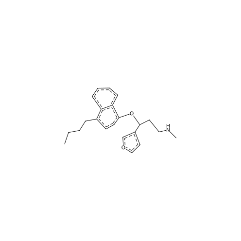 CCCCc1ccc(OC(CCNC)c2ccoc2)c2ccccc12